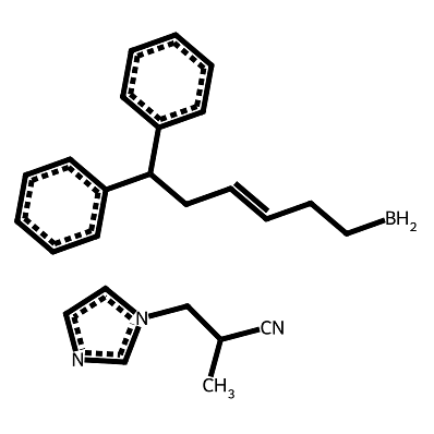 BCCC=CCC(c1ccccc1)c1ccccc1.CC(C#N)Cn1ccnc1